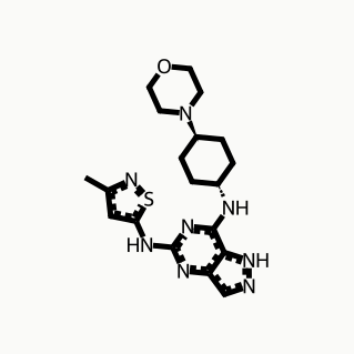 Cc1cc(Nc2nc(N[C@H]3CC[C@H](N4CCOCC4)CC3)c3[nH]ncc3n2)sn1